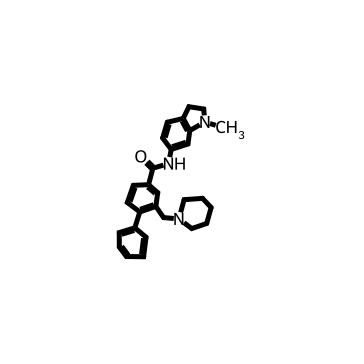 CN1CCc2ccc(NC(=O)c3ccc(-c4ccccc4)c(CN4CCCCC4)c3)cc21